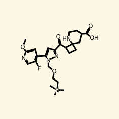 COc1cc(-c2cc(C(=O)C3CCC34CC(C(=O)O)CCN4)nn2COCC[Si](C)(C)C)c(F)cn1